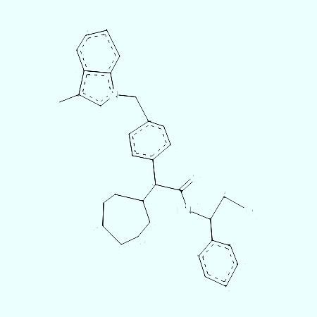 Cc1cn(Cc2ccc(C(C(=O)NC(CO)c3ccccc3)C3CCCCCC3)cc2)c2ccccc12